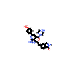 CN1Cc2cc(C=Cc3n[nH]c4nc(-c5ccc(O)cc5)cc(C(=O)N5CCNCC5)c34)ccc2C1=O